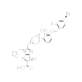 C[C@H]1C2CN(Cc3nc4[nH]c(C(=O)O)nc4n3C[C@@H]3CCO3)CC[C@]21c1cccc(OCc2ccc(C#N)cc2F)n1